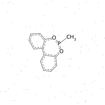 Cp1oc2ccccc2c2ccccc2o1